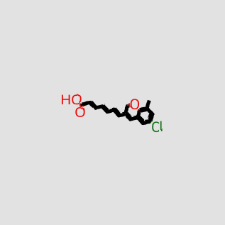 Cc1cc(Cl)cc2c1OCC(C=CC=CC=CC(=O)O)=C2